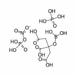 O=C(O)CC(CC(=O)O)(OB(O)O)C(=O)O.O=P(O)(O)O.O=[N+]([O-])OP(=O)(O)O